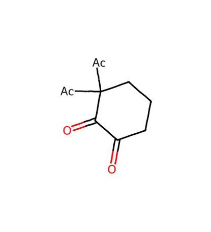 CC(=O)C1(C(C)=O)CCCC(=O)C1=O